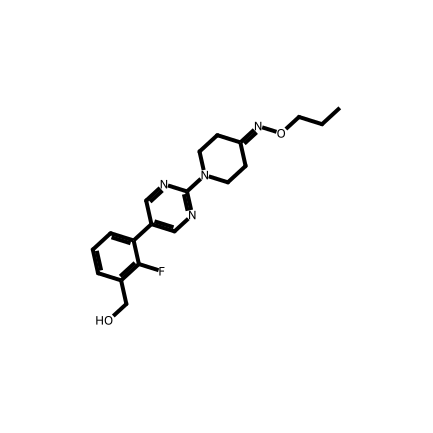 CCCON=C1CCN(c2ncc(-c3cccc(CO)c3F)cn2)CC1